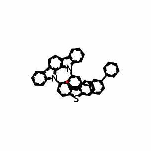 c1ccc(-c2cccc(-c3cccc(-n4c5ccccc5c5ccc6c7ccccc7n(-c7ccc8sc9ccccc9c8c7)c6c54)c3)c2)cc1